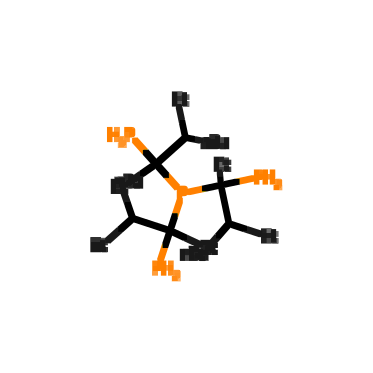 CCCCC(CC)C(P)(CC)P(C(P)(CC)C(CC)CCCC)C(P)(CC)C(CC)CCCC